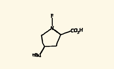 CCCCC1CC(C(=O)O)N(F)C1